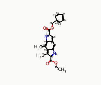 CCOC(=O)C1=Nc2cc3c(c(C)c2=C1C)N=C(C(=O)OCc1ccccc1)C=3